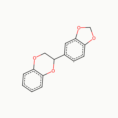 [c]1cc2c(cc1C1COc3ccccc3O1)OCO2